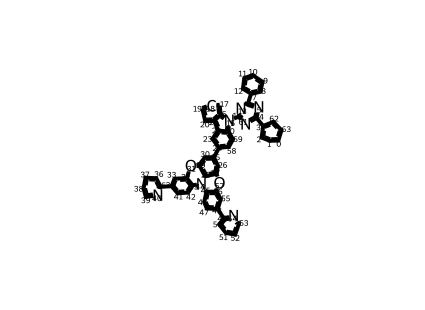 c1ccc(-c2nc(-c3ccccc3)nc(-n3c4ccccc4c4cc(-c5cc6c7c(c5)Oc5cc(-c8ccccn8)ccc5N7c5ccc(-c7ccccn7)cc5O6)ccc43)n2)cc1